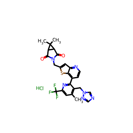 Cc1cc(C(F)(F)F)nc(-c2ccnc3cc(CN4C(=O)C5C(C4=O)C5(C)C)sc23)c1Cn1cncn1.Cl